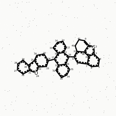 C1=c2sc3cccc4cc(-c5c6ccccc6c(-c6ccc7c(c6)oc6ccccc67)c6ccccc56)c(c2c43)CC1